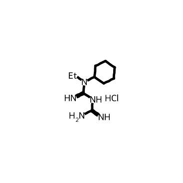 CCN(C(=N)NC(=N)N)C1CCCCC1.Cl